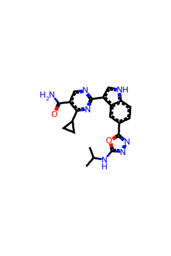 CC(C)Nc1nnc(-c2ccc3[nH]cc(-c4ncc(C(N)=O)c(C5CC5)n4)c3c2)o1